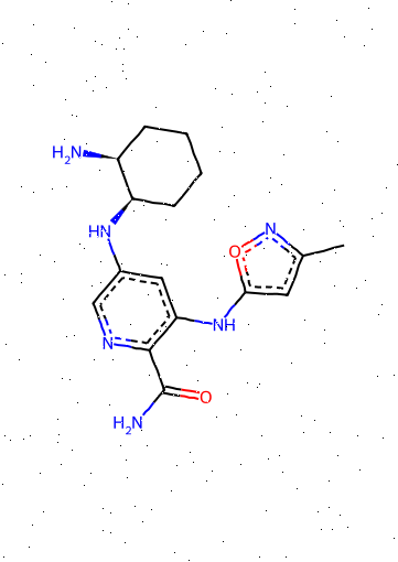 Cc1cc(Nc2cc(N[C@@H]3CCCC[C@@H]3N)cnc2C(N)=O)on1